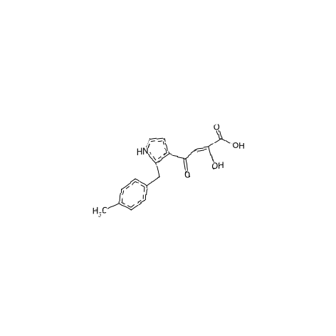 Cc1ccc(Cc2[nH]ccc2C(=O)/C=C(\O)C(=O)O)cc1